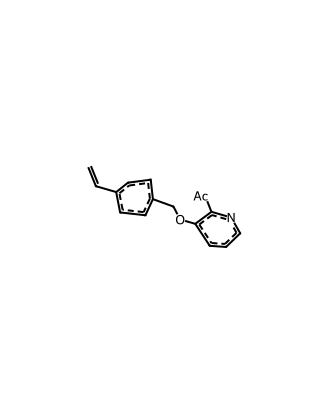 C=Cc1ccc(COc2cccnc2C(C)=O)cc1